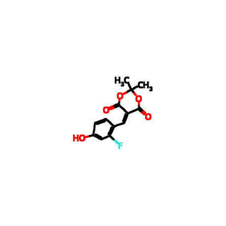 CC1(C)OC(=O)C(=Cc2ccc(O)cc2F)C(=O)O1